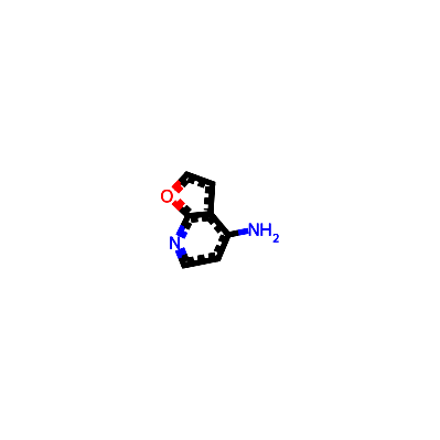 Nc1ccnc2occc12